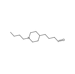 CCCCN1CCC(CCC[C]=O)CC1